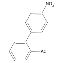 CC(=O)c1ccccc1-c1ccc([N+](=O)[O-])cc1